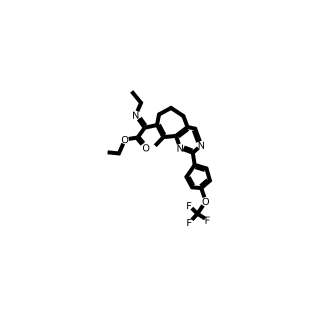 CC/N=C(/C(=O)OCC)C1=C(C)c2nc(-c3ccc(OC(F)(F)F)cc3)ncc2CCC1